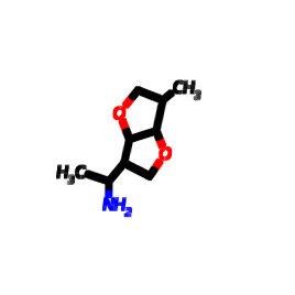 CC(N)C1COC2C(C)COC12